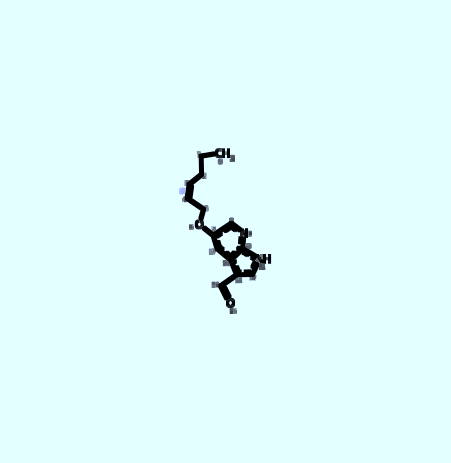 CCC/C=C\COc1cnc2[nH]cc(C=O)c2c1